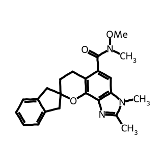 CON(C)C(=O)c1cc2c(nc(C)n2C)c2c1CCC1(Cc3ccccc3C1)O2